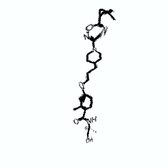 Cc1cc(OCCCC2CCN(c3noc(C4CC4(C)C)n3)CC2)ccc1C(=O)N[C@H](C)CO